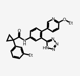 CCOc1ccc(-c2ccc(NC(=O)C3(c4cccc(CC)c4)CC3)cc2-c2nnn[nH]2)cn1